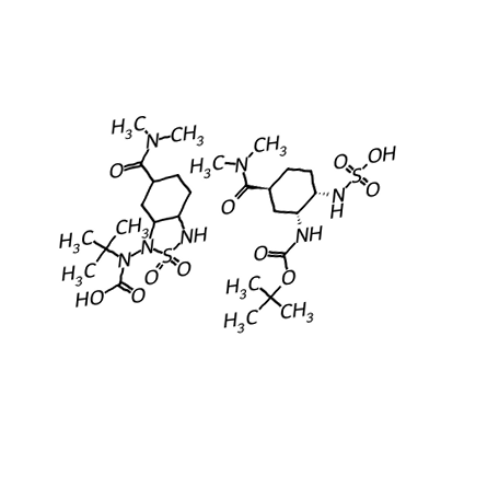 CN(C)C(=O)C1CCC2NS(=O)(=O)N(N(C(=O)O)C(C)(C)C)C2C1.CN(C)C(=O)[C@H]1CC[C@H](NS(=O)(=O)O)[C@H](NC(=O)OC(C)(C)C)C1